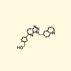 OCc1cc(-c2ccc3nnn(Cc4ccc5ncccc5c4)c3n2)cs1